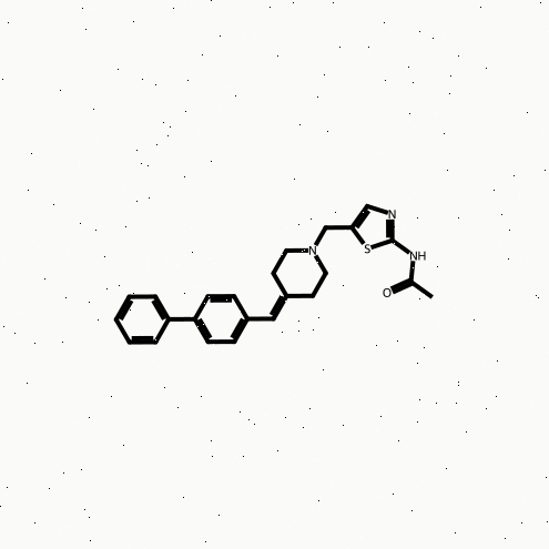 CC(=O)Nc1ncc(CN2CCC(=Cc3ccc(-c4ccccc4)cc3)CC2)s1